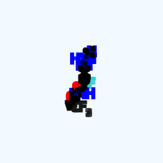 Cc1c(Nc2ncc(-c3ccc(CC(=O)Nc4cc(C5(C(F)(F)F)CC5)on4)c(F)c3)cn2)ncn1C